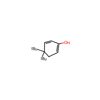 CC(C)(C)C1(C(C)(C)C)C=CC(O)=CC1